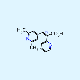 Cc1cc(/C=C(/C(=O)O)c2ccccn2)cc(C)n1